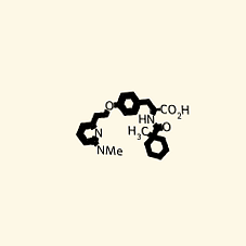 CNc1cccc(CCOc2ccc(C[C@H](NC(=O)C3(C)CCCCC3)C(=O)O)cc2)n1